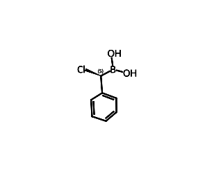 OB(O)[C@H](Cl)c1ccccc1